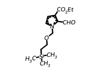 CCOC(=O)c1ccn(COCC[Si](C)(C)C)c1C=O